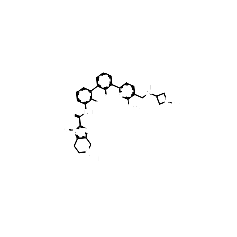 COc1nc(-c2cccc(-c3cccc(NC(=O)c4nc5c(n4C)CCN(C)C5)c3Cl)c2Cl)ccc1CNC1CN(C(C)=O)C1